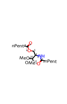 CCCCCC(=O)NC(COC(=O)CCCCC)C(OC)OC